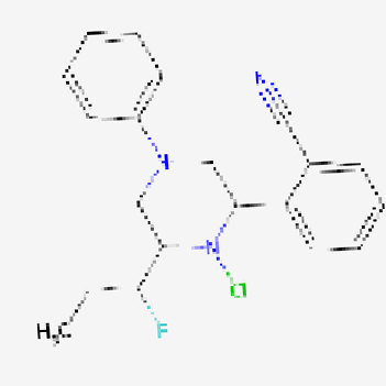 CCC(F)C1CN(c2ccccc2)CC(c2ccccc2C#N)N1Cl